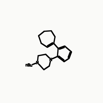 CCCCN1CCN(c2ccccc2C2=CCCCCC2)CC1